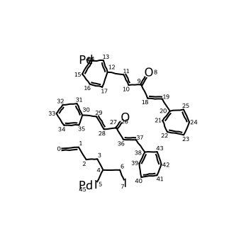 C=CCCC(I)CI.O=C(C=Cc1ccccc1)C=Cc1ccccc1.O=C(C=Cc1ccccc1)C=Cc1ccccc1.[Pd].[Pd]